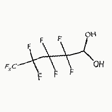 OC(O)C(F)(F)C(F)(F)C(F)(F)C(F)(F)F